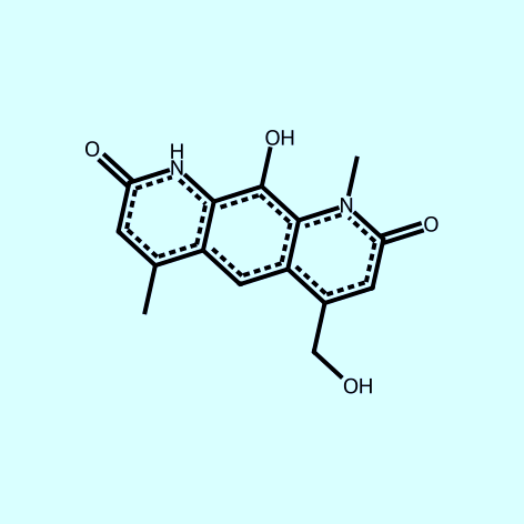 Cc1cc(=O)[nH]c2c(O)c3c(cc12)c(CO)cc(=O)n3C